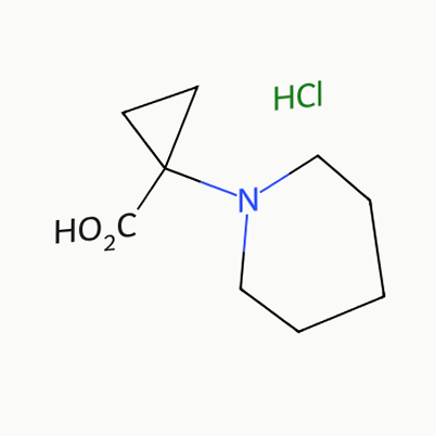 Cl.O=C(O)C1(N2CCCCC2)CC1